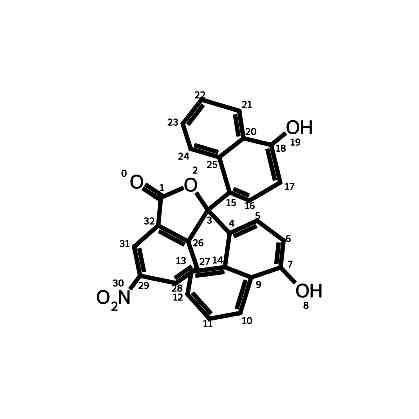 O=C1OC(c2ccc(O)c3ccccc23)(c2ccc(O)c3ccccc23)c2ccc([N+](=O)[O-])cc21